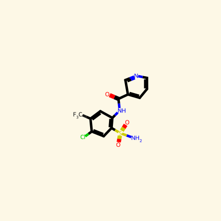 NS(=O)(=O)c1cc(Cl)c(C(F)(F)F)cc1NC(=O)c1cccnc1